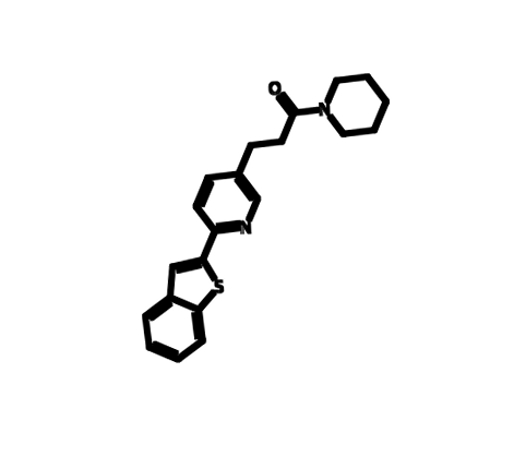 O=C(CCc1ccc(-c2cc3ccccc3s2)nc1)N1CCCCC1